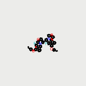 C=Cc1ccc(Oc2ccc(C3(c4ccc(F)cc4)c4ccccc4-c4ccc(N(c5ccc(-c6ccc(N(c7ccc8c(c7)C(c7ccc(F)cc7)(c7ccc(Oc9ccc(C=C)cc9)cc7)c7ccccc7-8)c7cccc8oc9ccccc9c78)cc6)cc5)c5cccc6oc7ccccc7c56)cc43)cc2)cc1